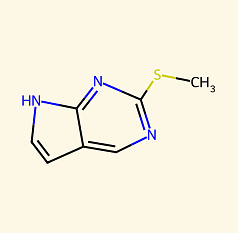 CSc1ncc2cc[nH]c2n1